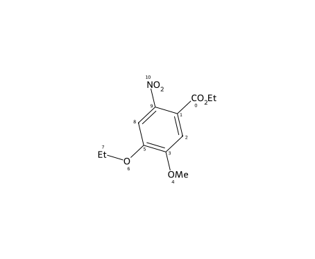 CCOC(=O)c1cc(OC)c(OCC)cc1[N+](=O)[O-]